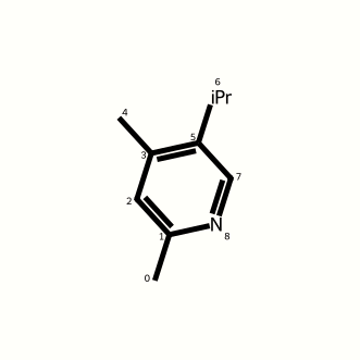 Cc1cc(C)c(C(C)C)cn1